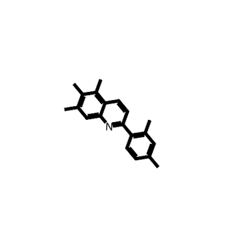 Cc1ccc(-c2ccc3c(C)c(C)c(C)cc3n2)c(C)c1